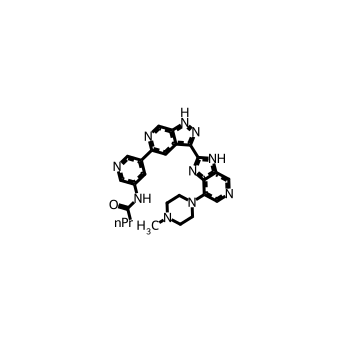 CCCC(=O)Nc1cncc(-c2cc3c(-c4nc5c(N6CCN(C)CC6)cncc5[nH]4)n[nH]c3cn2)c1